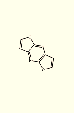 c1cc2nc3occc3cc2o1